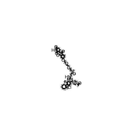 CC(=O)N1CCN(c2nc(NCCC(=O)N(C)CCOCCOCCOc3ccc4c(c3)C(=O)N(C3CCC(=O)NC3=O)C4=O)nc3c(F)c(C4=C(F)C=CCCC4)c(Cl)cc23)CC1